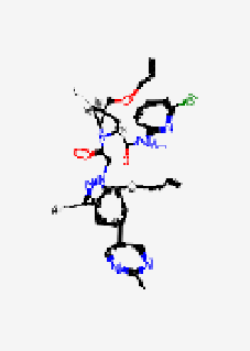 C=CCCc1cc(-c2cnc(C)nc2)cc2c(C(C)=O)nn(CC(=O)N3C4[C@H](C)[C@]4(COCC=C)C[C@H]3C(=O)Nc3cccc(Br)n3)c12